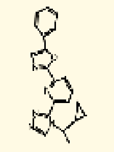 CC(C1CC1)n1cnnc1-c1cccc(-c2ncc(-c3ccccc3)o2)n1